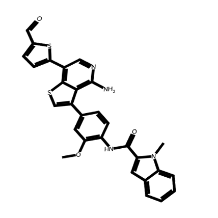 COc1cc(-c2csc3c(-c4ccc(C=O)s4)cnc(N)c23)ccc1NC(=O)c1cc2ccccc2n1C